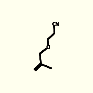 C=C(C)COCCC#N